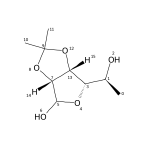 C[C@H](O)[C@@H]1OC(O)[C@@H]2OC(C)(C)O[C@H]12